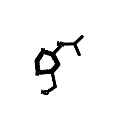 CC(C)Nc1cc(CO)ncn1